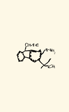 COC1c2ccccc2-c2cc(C(C)(C)O)c(N)cc21